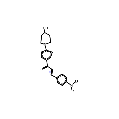 CCN(CC)c1ccc(/C=C/C(=O)c2ccc(N3CCC(O)CC3)cc2)cc1